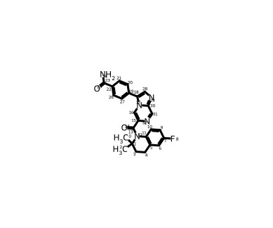 CC1(C)CCc2cc(F)ccc2N1C(=O)c1cn2c(-c3ccc(C(N)=O)cc3)cnc2cn1